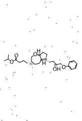 CC(C)OC(=O)CCC[C@H]1CC[C@@H]2[C@@H](CC[C@@H](O)COc3ccccc3)CC[C@@H]2OC1